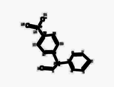 O=CN(c1ccccc1)c1ccc([N+](=O)[O-])cc1